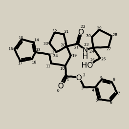 O=C(OCc1ccccc1)C(CCc1ccccc1)CC1(C(=O)NC2(CO)CCCC2)CCCC1